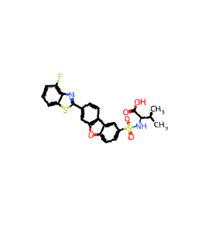 CC(C)[C@@H](NS(=O)(=O)c1ccc2oc3cc(-c4nc5c(F)cccc5s4)ccc3c2c1)C(=O)O